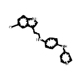 Clc1ccc2[nH]cc(CCNc3ccc(Nc4ccncc4)cc3)c2c1